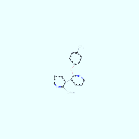 COc1ncccc1-c1cccnc1Oc1ccc(C(F)(F)F)cc1